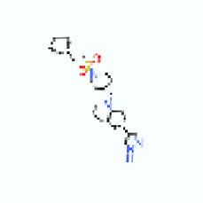 O=S(=O)(CCc1ccccc1)N1CCC(CN2CCCc3cc(-c4cn[nH]c4)ccc32)CC1